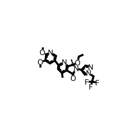 CCO[C@@]1(C)c2nc(-c3cnc(OC)c(OC)c3)cc(C)c2C(=O)N1c1cnn(CC(F)(F)F)c1